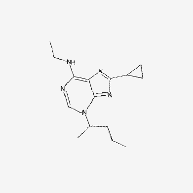 CCCC(C)n1cnc(NCC)c2nc(C3CC3)nc1-2